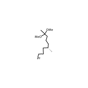 COC(C)(CCC[C@H](C)CCCC(C)C)OC